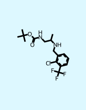 CC(CNC(=O)OC(C)(C)C)NCc1cccc(C(F)(F)F)c1Cl